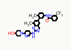 Cc1ccc(NC(=O)c2cccc(C(F)(F)F)c2)cc1-c1cc(C)c2nc(Nc3ccc(N4CCC(O)CC4)nc3)ncc2c1